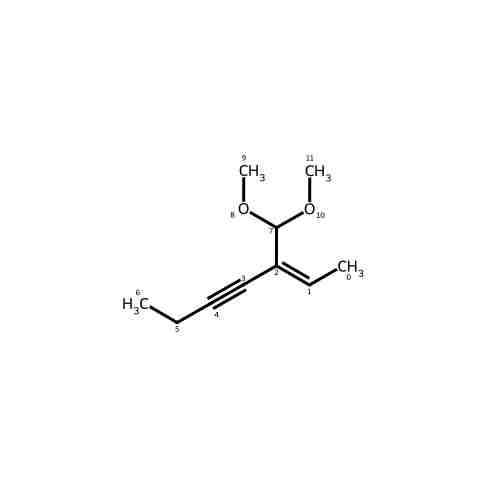 CC=C(C#CCC)C(OC)OC